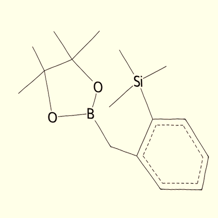 CC1(C)OB(Cc2ccccc2[Si](C)(C)C)OC1(C)C